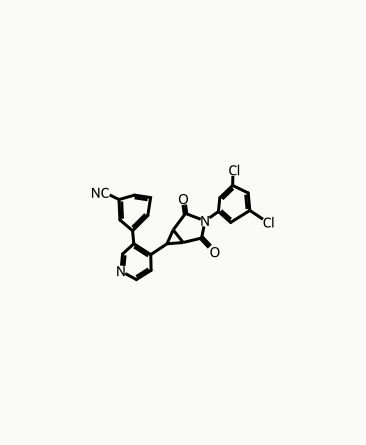 N#Cc1cccc(-c2cnccc2C2C3C(=O)N(c4cc(Cl)cc(Cl)c4)C(=O)C32)c1